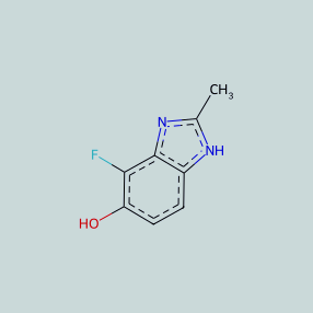 Cc1nc2c(F)c(O)ccc2[nH]1